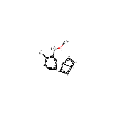 CCCO[SiH2]c1ccccc1CC.c1cc2ccc1-2